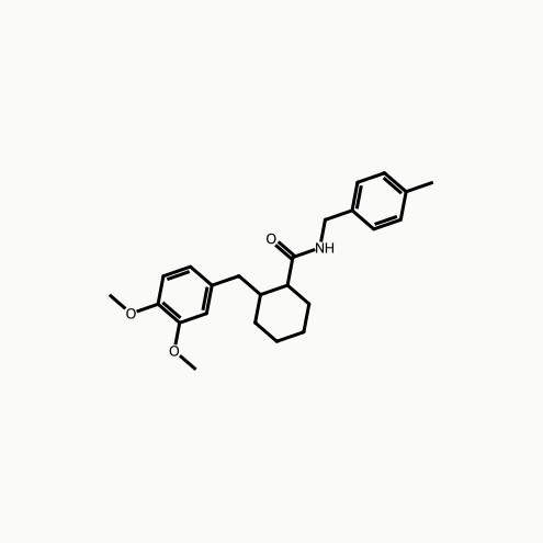 COc1ccc(CC2CCCCC2C(=O)NCc2ccc(C)cc2)cc1OC